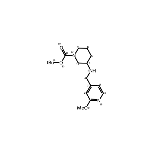 COc1cc(CNC2CCCN(C(=O)OC(C)(C)C)C2)ccn1